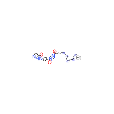 CC/C=C\C/C=C\C/C=C\C/C=C\C/C=C\CCCC(=O)N1CCN(C(=O)c2ccc(NC(=O)c3cccnc3)cc2)CC1